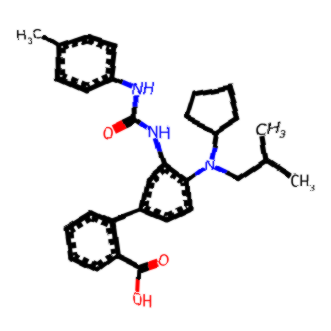 Cc1ccc(NC(=O)Nc2cc(-c3ccccc3C(=O)O)ccc2N(CC(C)C)C2CCCC2)cc1